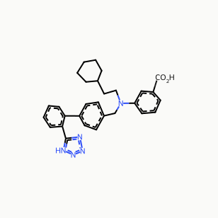 O=C(O)c1cccc(N(CCC2CCCCC2)Cc2ccc(-c3ccccc3-c3nnn[nH]3)cc2)c1